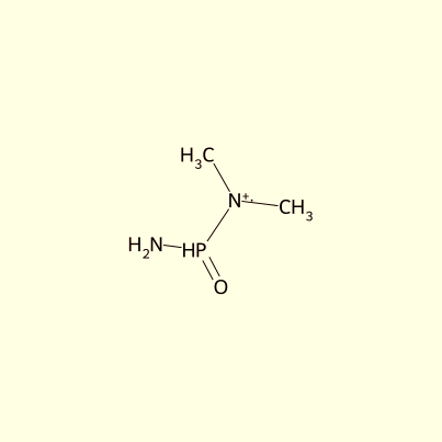 C[N+](C)[PH](N)=O